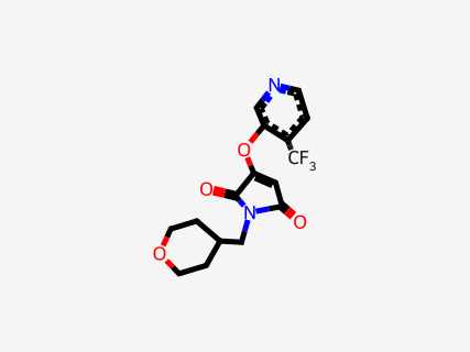 O=C1C=C(Oc2cnccc2C(F)(F)F)C(=O)N1CC1CCOCC1